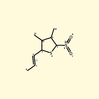 C/C=C/C1SC([SH](=O)=O)C(C)C1C